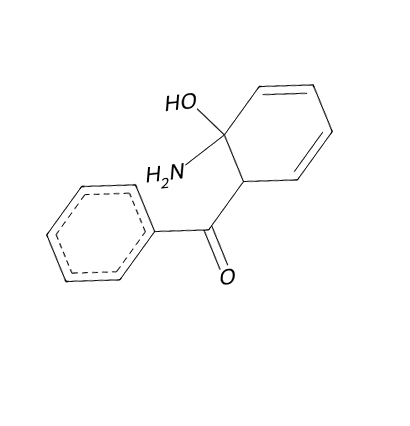 NC1(O)C=CC=CC1C(=O)c1ccccc1